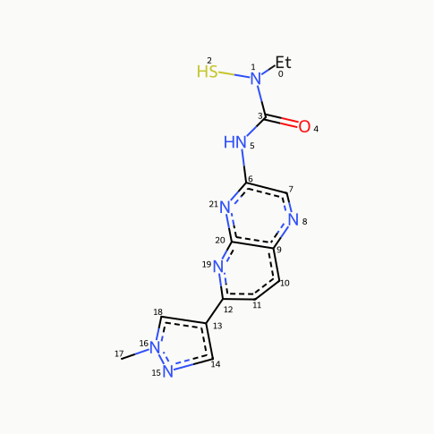 CCN(S)C(=O)Nc1cnc2ccc(-c3cnn(C)c3)nc2n1